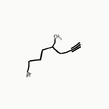 [C]#CCC(C)CCCC(C)C